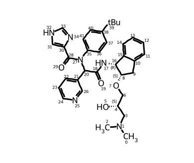 CN(C)C[C@H](O)CO[C@H]1Cc2ccccc2[C@H]1NC(=O)C(c1cccnc1)N(C(=O)c1c[nH]cn1)c1ccc(C(C)(C)C)cc1